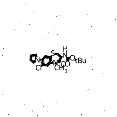 CN1C(=O)[C@@H](NC(=O)OC(C)(C)C)CSc2cc(N3CCCC3)c(Cl)cc21